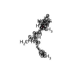 C=CCOC(=O)CC[C@H](NC(=O)CNC(=O)CCCC#Cc1cnc(S(C)(=O)=O)nc1)C(=O)NCOCCC(=O)O[C@]1(C(=O)SCF)[C@H](C)C[C@H]2[C@@H]3C[C@H](F)C4=CC(=O)C=C[C@]4(C)[C@@]3(F)[C@@H](O)C[C@@]21C